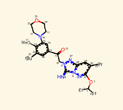 CCC(CC)Oc1nn2c(=N)n(CC(=O)c3cc(N4CCOCC4)c(OC)c(C(C)(C)C)c3)nc2cc1C(C)C